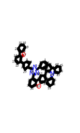 c1ccc(-c2nc(-c3ccc(-c4cccc5c4oc4ccccc45)cc3)nc(-c3cccc4oc5ccc(-c6cccc7c8ccccc8n(-c8ccccc8)c67)cc5c34)n2)cc1